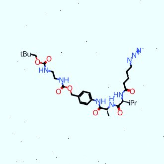 CC(C)[C@H](NC(=O)CCCCN=[N+]=[N-])C(=O)N[C@@H](C)C(=O)Nc1ccc(COC(=O)NCCNC(=O)OCC(C)(C)C)cc1